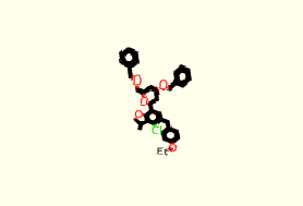 CCOc1ccc(Cc2cc(C3CC(OCc4ccccc4)CC(COCc4ccccc4)O3)c3c(c2Cl)C(C)CO3)cc1